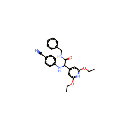 CCOc1cc(C(Nc2ccc(C#N)cc2)C(=O)NCc2ccccc2)cc(OCC)n1